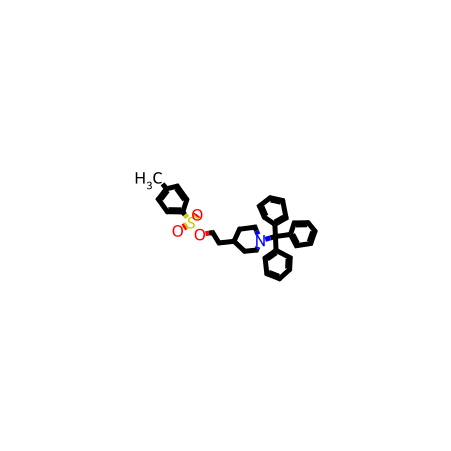 Cc1ccc(S(=O)(=O)OCCC2CCN(C(c3ccccc3)(c3ccccc3)c3ccccc3)CC2)cc1